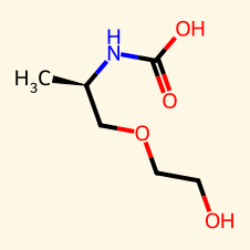 C[C@H](COCCO)NC(=O)O